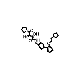 O=C(NCc1ccc(-c2ccccc2OCCC2CCCC2)cc1)[C@H](O)[C@@H](O)C(=O)N1CCCC1